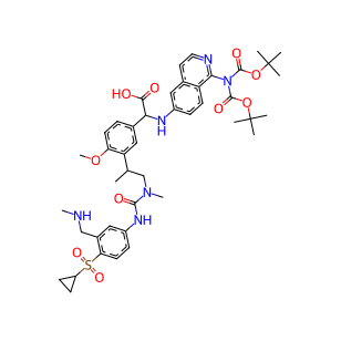 CNCc1cc(NC(=O)N(C)CC(C)c2cc(C(Nc3ccc4c(N(C(=O)OC(C)(C)C)C(=O)OC(C)(C)C)nccc4c3)C(=O)O)ccc2OC)ccc1S(=O)(=O)C1CC1